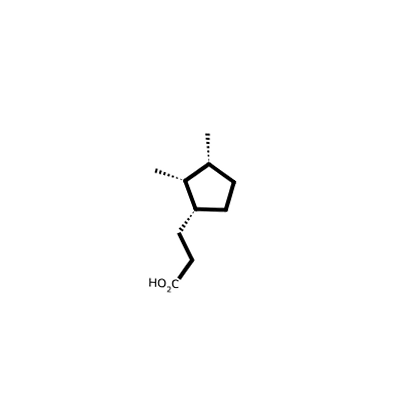 C[C@H]1[C@@H](CCC(=O)O)CC[C@H]1C